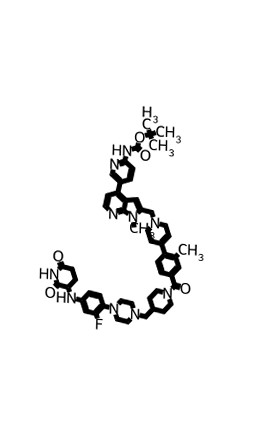 Cc1cc(C(=O)N2CCC(CN3CCN(c4ccc(NC5CCC(=O)NC5=O)cc4F)CC3)CC2)ccc1C1=CCN(Cc2cc3c(-c4ccc(NC(=O)OC(C)(C)C)nc4)ccnc3n2C)CC1